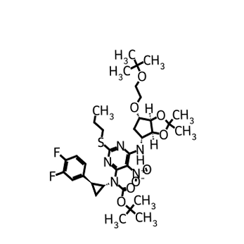 CCCSc1nc(N[C@@H]2C[C@H](OCCOC(C)(C)C)[C@H]3OC(C)(C)O[C@H]32)c([N+](=O)[O-])c(N(C(=O)OC(C)(C)C)[C@@H]2C[C@H]2c2ccc(F)c(F)c2)n1